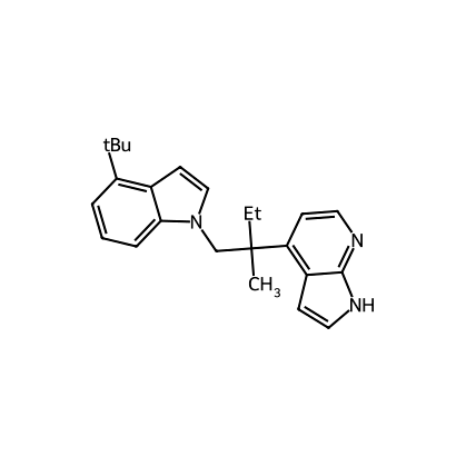 CCC(C)(Cn1ccc2c(C(C)(C)C)cccc21)c1ccnc2[nH]ccc12